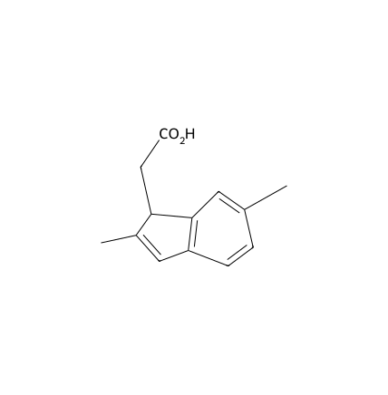 CC1=Cc2ccc(C)cc2C1CC(=O)O